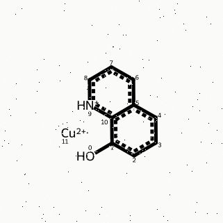 Oc1cccc2ccc[nH+]c12.[Cu+2]